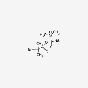 CCC(Cl)(OC(=O)C(C)(C)Br)[SiH](C)C